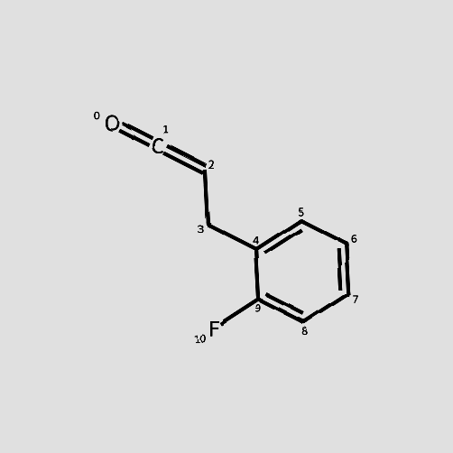 O=C=CCc1ccccc1F